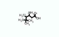 CC(C(N)CC(=O)O)C(C)(C)C